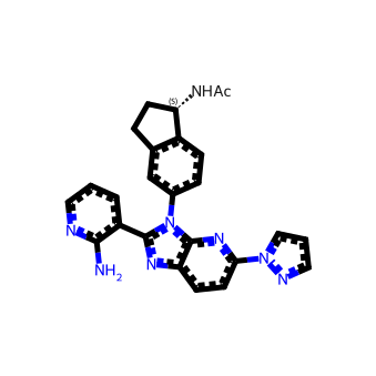 CC(=O)N[C@H]1CCc2cc(-n3c(-c4cccnc4N)nc4ccc(-n5cccn5)nc43)ccc21